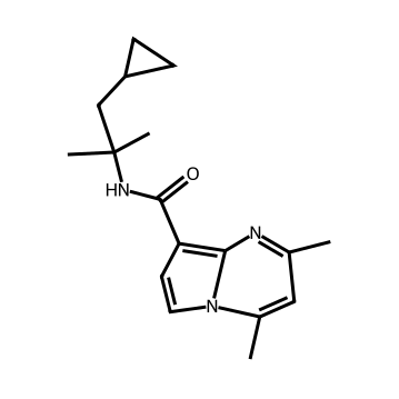 Cc1cc(C)n2ccc(C(=O)NC(C)(C)CC3CC3)c2n1